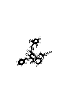 CO[C@@H]1CS[C@]2(CC[C@H](C)N3C[C@H]2n2cc(C(=O)NCc4c(F)cc(F)cc4F)c(=O)c(OCc4ccccc4)c2C3=O)O1